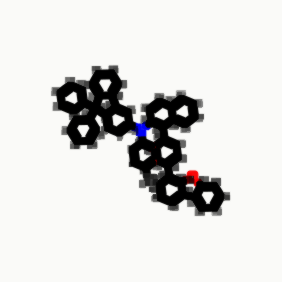 CC(C)(C)c1ccc(N(c2ccc3c(c2)-c2ccccc2C3(c2ccccc2)c2ccccc2)c2ccc3ccccc3c2-c2ccc(-c3cccc4c3oc3ccccc34)cc2)cc1